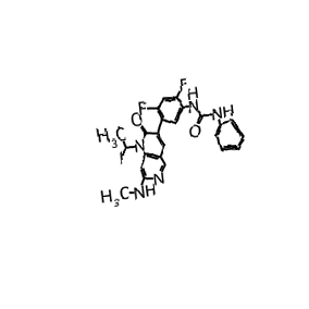 CNc1cc2c(cn1)cc(-c1cc(NC(=O)Nc3ccccc3)c(F)cc1F)c(=O)n2C(C)I